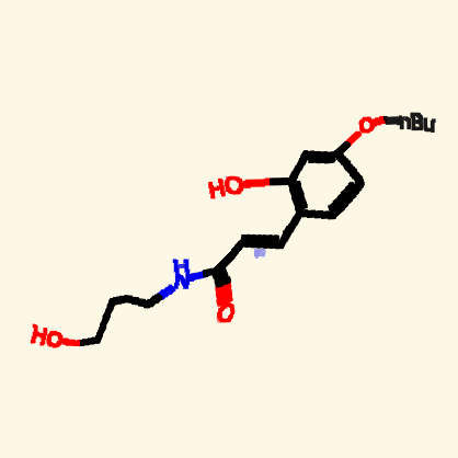 CCCCOc1ccc(/C=C/C(=O)NCCCO)c(O)c1